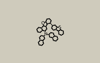 c1ccc2cc(N(c3ccc4ccccc4c3)c3cc4c(oc5cccc(-c6ccc7c(c6)sc6ccccc67)c54)c4ccccc34)ccc2c1